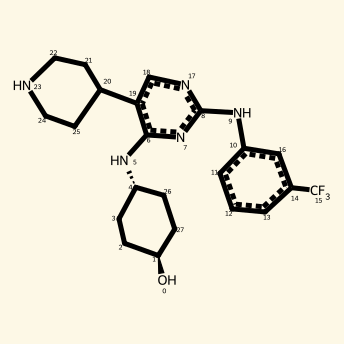 O[C@H]1CC[C@H](Nc2nc(Nc3cccc(C(F)(F)F)c3)ncc2C2CCNCC2)CC1